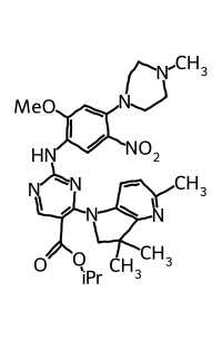 COc1cc(N2CCN(C)CC2)c([N+](=O)[O-])cc1Nc1ncc(C(=O)OC(C)C)c(N2CC(C)(C)c3nc(C)ccc32)n1